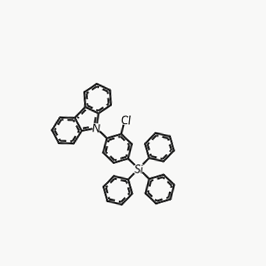 Clc1cc([Si](c2ccccc2)(c2ccccc2)c2ccccc2)ccc1-n1c2ccccc2c2ccccc21